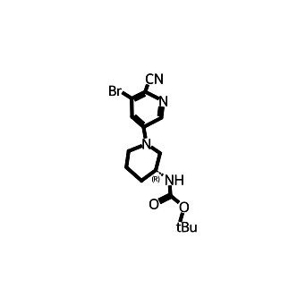 CC(C)(C)OC(=O)N[C@@H]1CCCN(c2cnc(C#N)c(Br)c2)C1